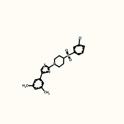 Cc1cc(C)cc(-c2csc(N3CCC(S(=O)(=O)c4cccc(Cl)c4)CC3)n2)c1